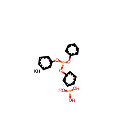 OP(O)O.[KH].c1ccc(OP(Oc2ccccc2)Oc2ccccc2)cc1